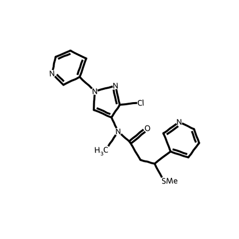 CSC(CC(=O)N(C)c1cn(-c2cccnc2)nc1Cl)c1cccnc1